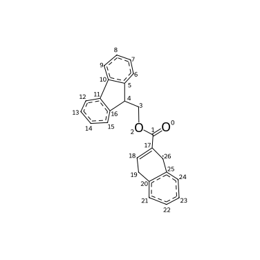 O=C(OCC1c2ccccc2-c2ccccc21)C1=CCc2ccccc2[CH]1